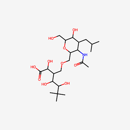 CC(=O)NC1C(COCC(C(O)C(=O)O)C(O)C(O)C(C)(C)C)OC(CO)C(O)C1CC(C)C